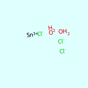 O.O.[Cl-].[Cl-].[Cl-].[Sn+3]